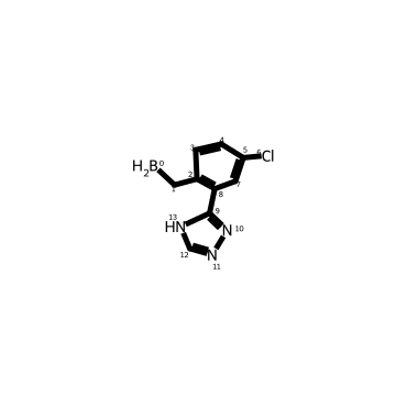 BCc1ccc(Cl)cc1-c1nnc[nH]1